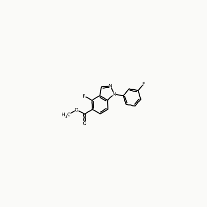 COC(=O)c1ccc2c(cnn2-c2cccc(F)c2)c1F